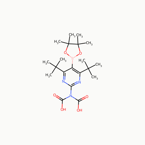 CC(C)(C)c1nc(N(C(=O)O)C(=O)O)nc(C(C)(C)C)c1B1OC(C)(C)C(C)(C)O1